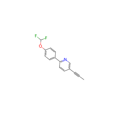 CC#Cc1ccc(-c2ccc(OC(F)F)cc2)nc1